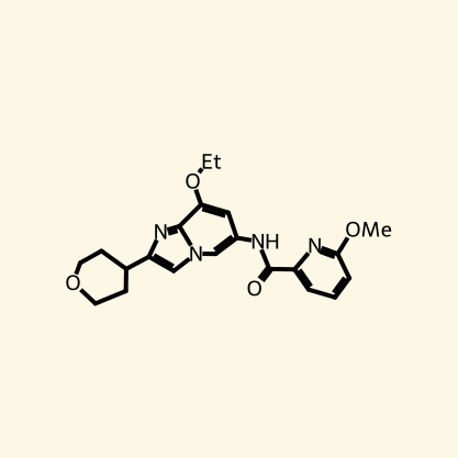 CCOc1cc(NC(=O)c2cccc(OC)n2)cn2cc(C3CCOCC3)nc12